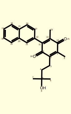 CC1=C(CCC(C)(C)O)C(=O)C(c2ccc3ccccc3c2)=C(C)C1=O